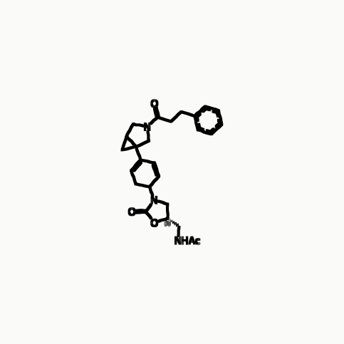 CC(=O)NC[C@H]1CN(C2C=CC(C34CC3CN(C(=O)CCc3ccccc3)C4)=CC2)C(=O)O1